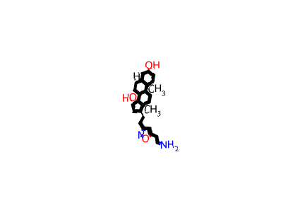 C[C@]12CC[C@H](O)C[C@H]1CCC1C2CC[C@]2(C)[C@@H](CCc3cc(CCN)on3)CC[C@]12O